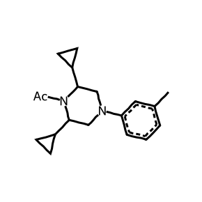 CC(=O)N1C(C2CC2)CN(c2cccc(C)c2)CC1C1CC1